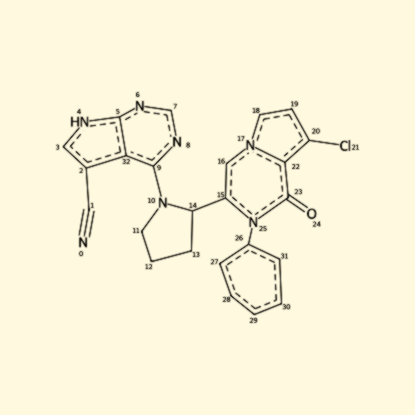 N#Cc1c[nH]c2ncnc(N3CCCC3c3cn4ccc(Cl)c4c(=O)n3-c3ccccc3)c12